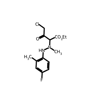 CCOC(=O)C(C(=O)CCl)N(C)Nc1ccc(F)cc1C